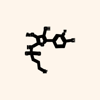 CC(=O)Oc1c(NS(=O)(=O)CCCBr)oc(-c2ccc(Cl)c(F)c2)c1O